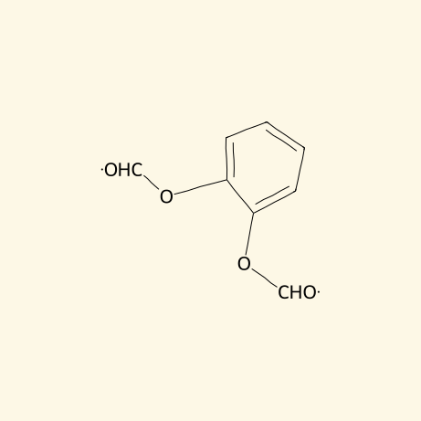 O=[C]Oc1ccccc1O[C]=O